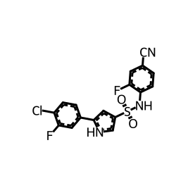 N#Cc1ccc(NS(=O)(=O)c2c[nH]c(-c3ccc(Cl)c(F)c3)c2)c(F)c1